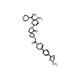 Cn1cnc(-c2ccc(C3=CCN(C(=O)CN4CC[C@]5(CCN(c6ccc(N)c(C(=N)C7CCOCC7)n6)C5=O)C4)CC3)cc2)n1